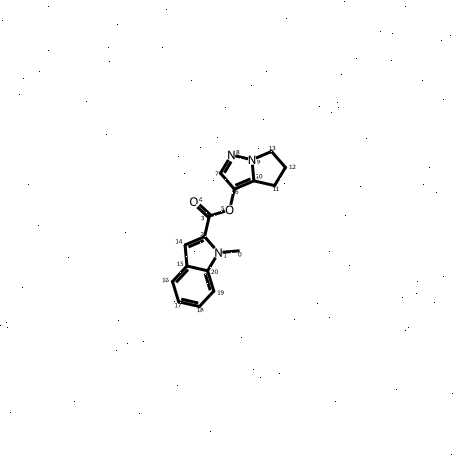 Cn1c(C(=O)Oc2cnn3c2CCC3)cc2ccccc21